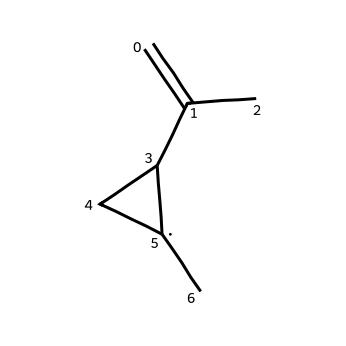 C=C(C)C1C[C]1C